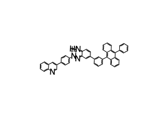 N=C1C=CC(c2cccc(-c3c4ccccc4c(-c4ccccc4)c4ccccc34)c2)=C/C1=N/Nc1ccc(-c2cnc3ccccc3c2)cc1